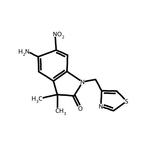 CC1(C)C(=O)N(Cc2cscn2)c2cc([N+](=O)[O-])c(N)cc21